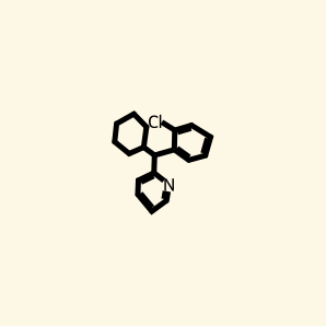 Clc1ccccc1C(c1ccccn1)C1CCCCC1